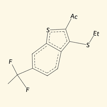 CCSc1c(C(C)=O)sc2cc(C(C)(F)F)ccc12